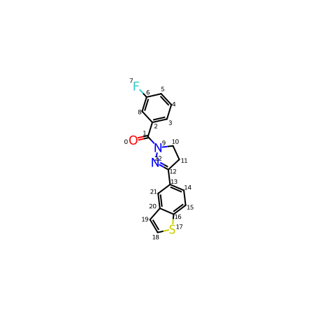 O=C(c1cccc(F)c1)N1CCC(c2ccc3sccc3c2)=N1